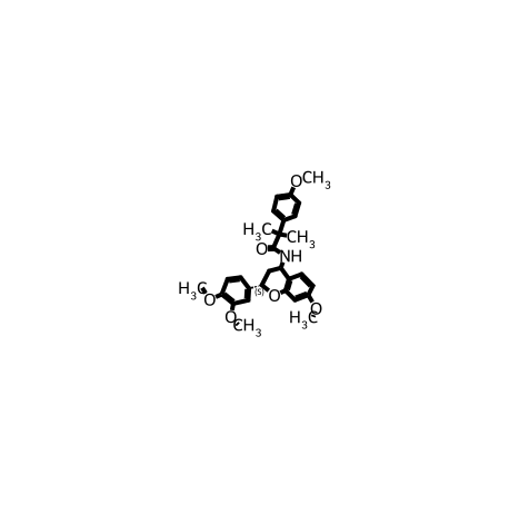 COc1ccc(C(C)(C)C(=O)NC2C[C@@H](c3ccc(OC)c(OC)c3)Oc3cc(OC)ccc32)cc1